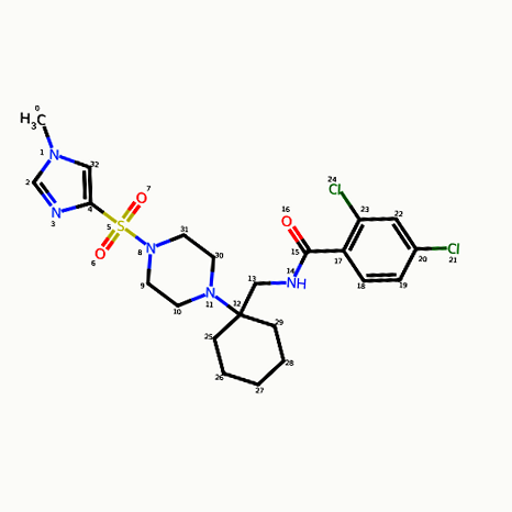 Cn1cnc(S(=O)(=O)N2CCN(C3(CNC(=O)c4ccc(Cl)cc4Cl)CCCCC3)CC2)c1